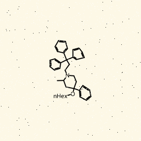 CCCCCCOC1(c2ccccc2)CCN(CCC(c2ccccc2)(c2ccccc2)c2ccccc2)C(C)C1